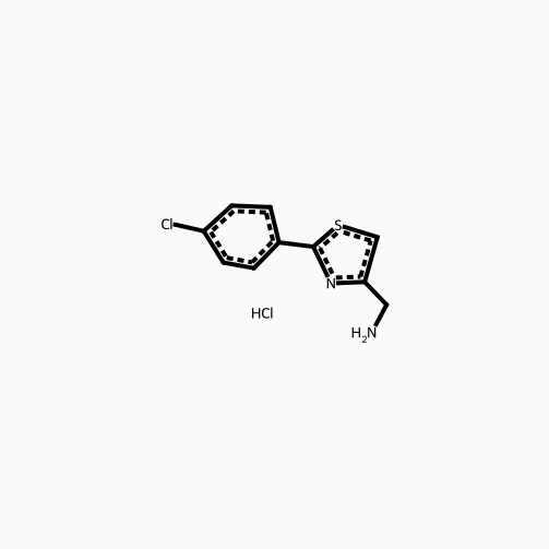 Cl.NCc1csc(-c2ccc(Cl)cc2)n1